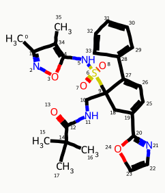 Cc1noc(NS(=O)(=O)C2(CNC(=O)C(C)(C)C)CC(c3ncco3)=CC=C2c2ccccc2)c1C